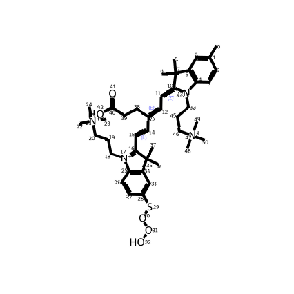 Cc1ccc2c(c1)C(C)(C)/C(=C/C=C(/C=C/C1=[N+](CCC[N+](C)(C)C)c3ccc(SOOO)cc3C1(C)C)CCC(=O)O)N2CCC[N+](C)(C)C